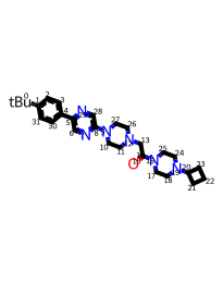 CC(C)(C)c1ccc(-c2cnc(N3CCN(CC(=O)N4CCN(C5CCC5)CC4)CC3)cn2)cc1